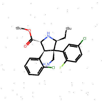 CC(C)(C)C[C@@H]1N[C@@H](C(=O)OC(C)(C)C)[C@H](c2ccccc2Cl)[C@@]1(CN)c1cc(Cl)ccc1F